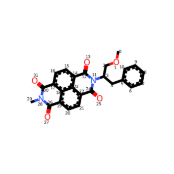 COCC(Cc1ccccc1)N1C(=O)c2ccc3c4c(ccc(c24)C1=O)C(=O)N(C)C3=O